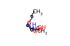 CCCCc1ccc(CCCCOCc2cccc(C=Cc3cccc(NC(=O)CCC(C)(C)C(=O)O)c3)n2)cc1